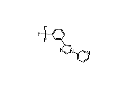 FC(F)(F)c1cccc(-c2cn(-c3cccnc3)cn2)c1